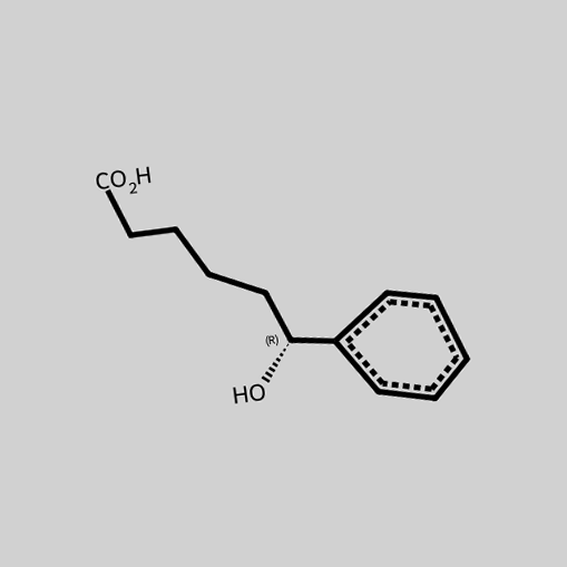 O=C(O)CCCC[C@@H](O)c1ccccc1